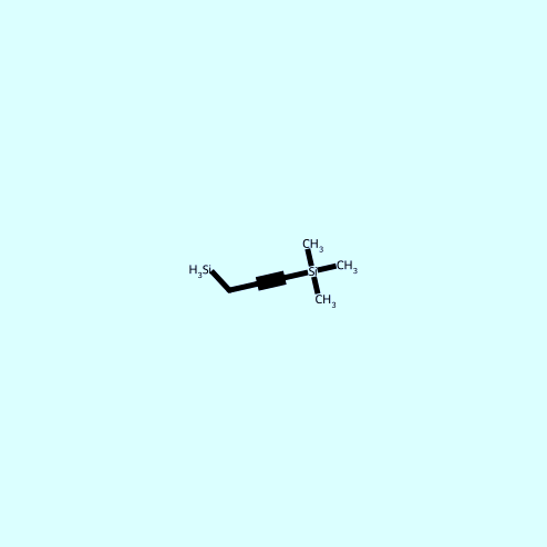 C[Si](C)(C)C#CC[SiH3]